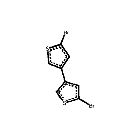 Brc1cc(-c2csc(Br)c2)cs1